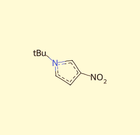 CC(C)(C)n1ccc([N+](=O)[O-])c1